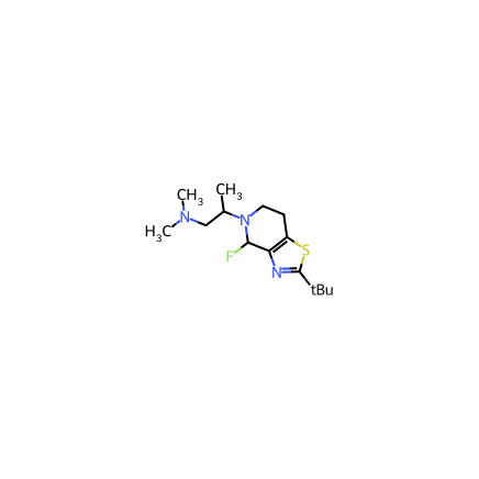 CC(CN(C)C)N1CCc2sc(C(C)(C)C)nc2C1F